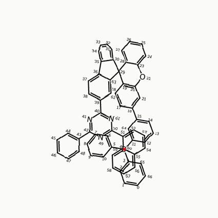 c1ccc(B(c2ccccc2)c2cccc(-c3ccc4c(c3)Oc3ccccc3C43c4ccccc4-c4ccc(-c5nc(-c6ccccc6)nc(-c6cccc7ccccc67)n5)cc43)c2)cc1